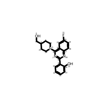 OCC1CCN(c2nc(-c3ccccc3O)nc3ccc(F)cc23)CC1